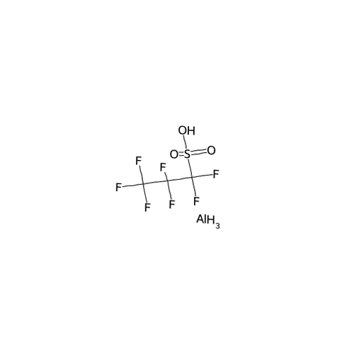 O=S(=O)(O)C(F)(F)C(F)(F)C(F)(F)F.[AlH3]